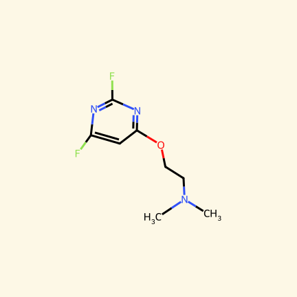 CN(C)CCOc1cc(F)nc(F)n1